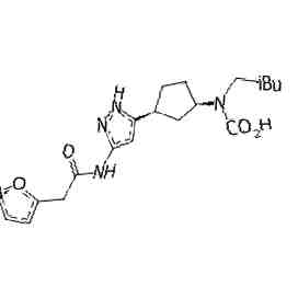 CCC(C)CN(C(=O)O)[C@@H]1CC[C@H](c2cc(NC(=O)Cc3ccno3)n[nH]2)C1